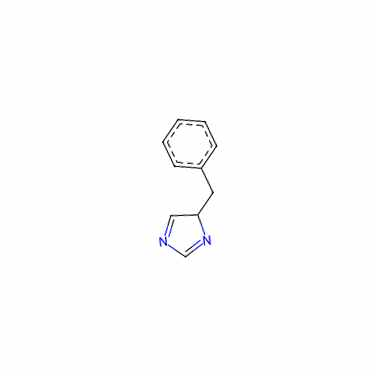 C1=NC=NC1Cc1ccccc1